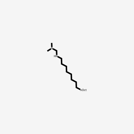 CCCCCCCCCCCCCCCCNCN(C)C